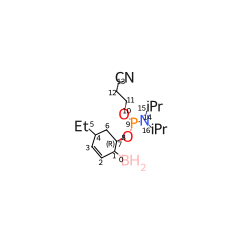 BC1C=CC(CC)C[C@H]1OP(OCCC#N)N(C(C)C)C(C)C